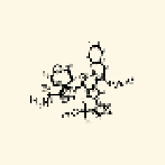 CN[C@H](CC1CCCCC1)C(=O)N1C[C@@H](n2nncc2C(C)(C)O)C[C@H]1C(=O)NC1(C(=O)C(N)=O)CCOCC1